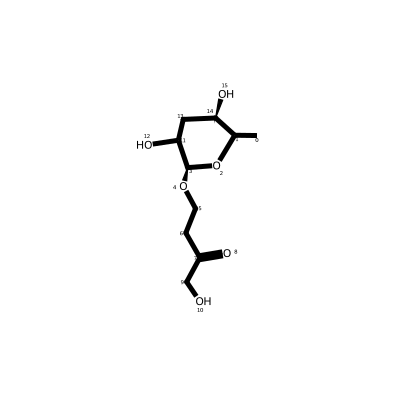 CC1O[C@@H](OCCC(=O)CO)C(O)C[C@H]1O